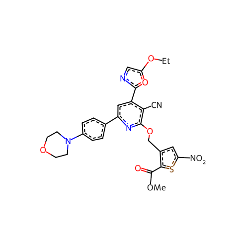 CCOc1cnc(-c2cc(-c3ccc(N4CCOCC4)cc3)nc(OCc3cc([N+](=O)[O-])sc3C(=O)OC)c2C#N)o1